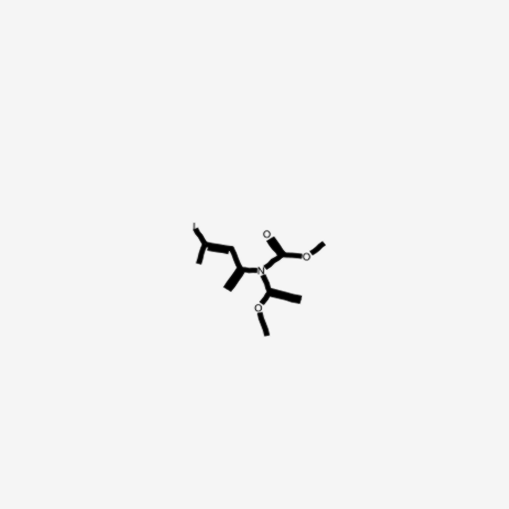 C=C(/C=C(\C)I)N(C(=C)OC)C(=O)OC